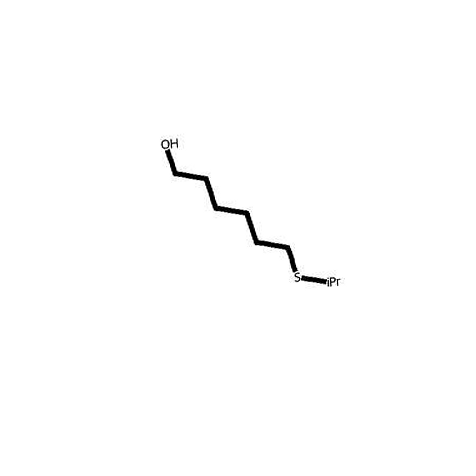 CC(C)SCCCCCCO